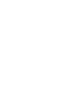 [Br][Cu][Br].[F-].[F-].[F-].[F-].[F-].[Gd+3].[Sr+2]